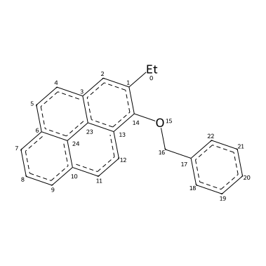 CCc1cc2ccc3cccc4ccc(c1OCc1ccccc1)c2c34